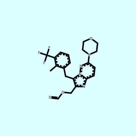 Cc1c(Cc2c(COC=O)nc3ccc(N4CCOCC4)nn23)cccc1C(F)(F)F